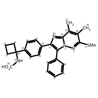 CSc1nn2c(-c3ccccc3)c(-c3ccc(C4(NC(=O)O)CCC4)cc3)nc2c(C)c1C